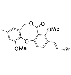 COc1cc(C)cc2c1Oc1ccc(C=CC(C)C)c(OC)c1C(=O)OC2